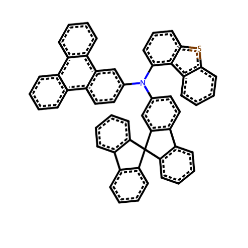 c1ccc2c(c1)-c1ccccc1C21c2ccccc2-c2ccc(N(c3ccc4c5ccccc5c5ccccc5c4c3)c3cccc4sc5ccccc5c34)cc21